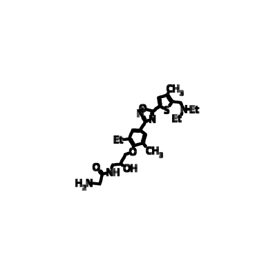 CCc1cc(-c2noc(-c3cc(C)c(CN(CC)CC)s3)n2)cc(C)c1OCC(O)CNC(=O)CN